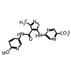 COc1ccc(NC(=O)c2c(C)nsc2Nc2cnc(C(=O)O)cn2)cn1